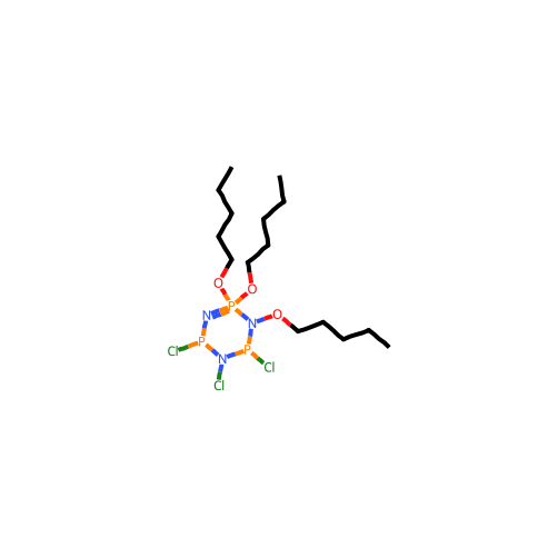 CCCCCON1P(Cl)N(Cl)P(Cl)N=P1(OCCCCC)OCCCCC